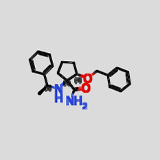 C[C@H](N[C@@]1(C(N)=O)CCC[C@H]1OCc1ccccc1)c1ccccc1